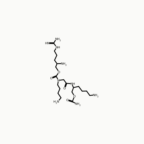 N=C(N)NCCCC(N)COC(=O)N(CCCCN)CC(=O)NC(CCCCN)COC(N)=O